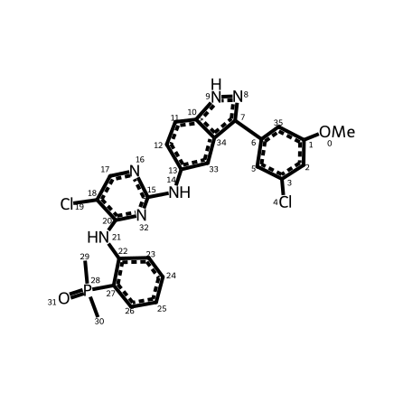 COc1cc(Cl)cc(-c2n[nH]c3ccc(Nc4ncc(Cl)c(Nc5ccccc5P(C)(C)=O)n4)cc23)c1